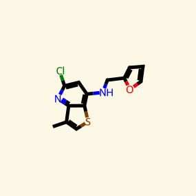 Cc1csc2c(NCc3ccco3)cc(Cl)nc12